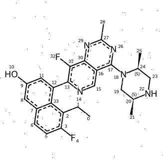 CCc1c(F)ccc2cc(O)cc(-c3ncc4c(N5C[C@H](C)NC[C@@H]5C)nc(C)nc4c3F)c12